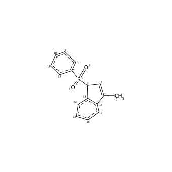 CC1=CC(S(=O)(=O)c2ccccc2)c2ccccc21